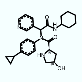 O=C(NC1CCCCC1)C(c1cccnc1)N(C(=O)[C@H]1C[C@@H](O)CN1)c1ccc(C2CC2)cc1